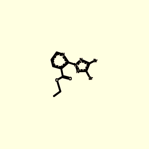 CCOC(=O)c1cccnc1-n1nc(Br)c(Br)n1